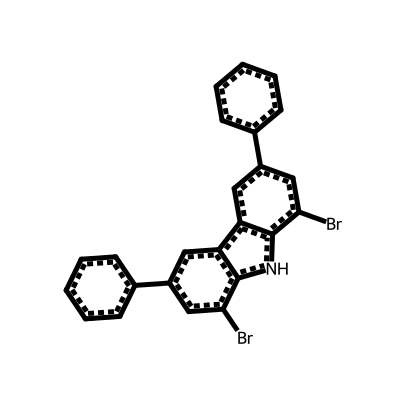 Brc1cc(-c2ccccc2)cc2c1[nH]c1c(Br)cc(-c3ccccc3)cc12